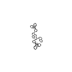 c1cc(-c2ccc3ccc4c(-c5cccc(-n6c7ccccc7c7ccccc76)c5)cc(-c5cccc6ccccc56)c5ccc2c3c45)cc(-n2c3ccccc3c3ccccc32)c1